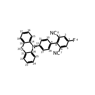 N#Cc1cc(F)cc(C#N)c1-c1ccc(N2c3ccccc3Sc3ccccc32)cc1